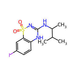 CC(C)C(C)NC1=NS(=O)(=O)c2cc(I)ccc2N1